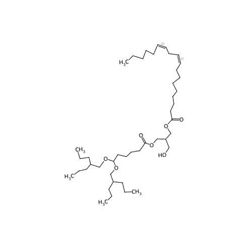 CCCCC/C=C\C/C=C\CCCCCCCC(=O)OCC(CO)COC(=O)CCCCC(OCC(CCC)CCC)OCC(CCC)CCC